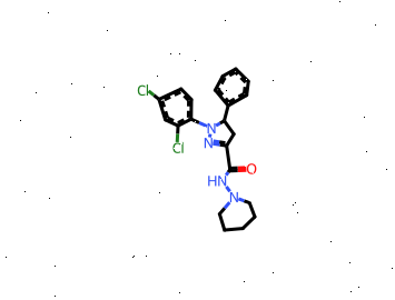 O=C(NN1CCCCC1)C1=NN(c2ccc(Cl)cc2Cl)C(c2ccccc2)C1